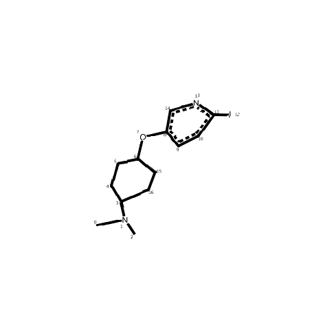 CN(C)C1CCC(Oc2ccc(I)nc2)CC1